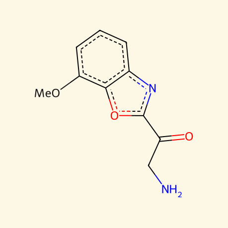 COc1cccc2nc(C(=O)CN)oc12